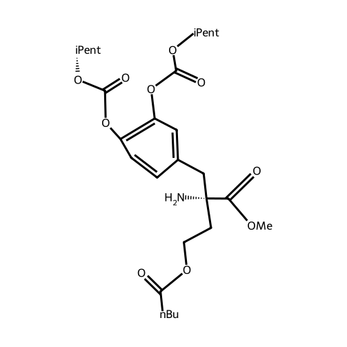 CCCCC(=O)OCC[C@@](N)(Cc1ccc(OC(=O)O[C@@H](C)CCC)c(OC(=O)OC(C)CCC)c1)C(=O)OC